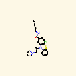 CCCCCNC(=O)c1ccc2c(c1)N(C(C)CN1CCCC1)c1ccccc1S2.Cl